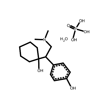 CN(C)CC(c1ccc(O)cc1)C1(O)CCCCC1.O.O=P(O)(O)O